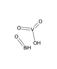 [O]=[BiH].[O]=[V](=[O])[OH]